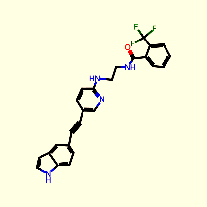 O=C(NCCNc1ccc(C#Cc2ccc3[nH]ccc3c2)cn1)c1ccccc1C(F)(F)F